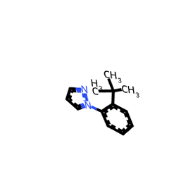 CC(C)(C)c1ccccc1-n1cccn1